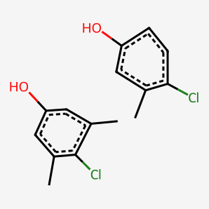 Cc1cc(O)cc(C)c1Cl.Cc1cc(O)ccc1Cl